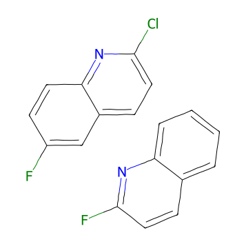 Fc1ccc2ccccc2n1.Fc1ccc2nc(Cl)ccc2c1